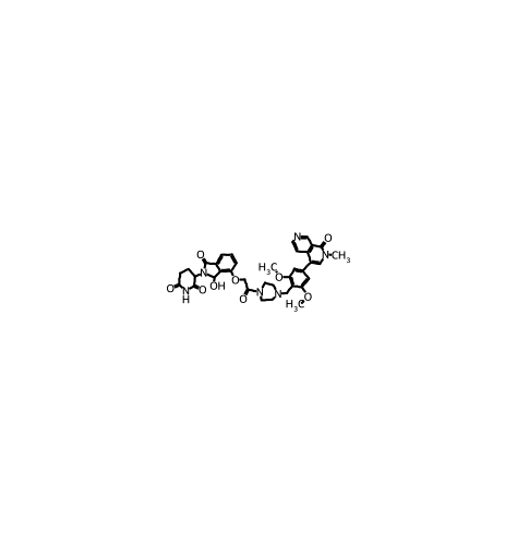 COc1cc(-c2cn(C)c(=O)c3cnccc23)cc(OC)c1CN1CCN(C(=O)COc2cccc3c2C(O)N(C2CCC(=O)NC2=O)C3=O)CC1